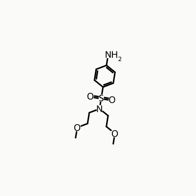 COCCN(CCOC)S(=O)(=O)c1ccc(N)cc1